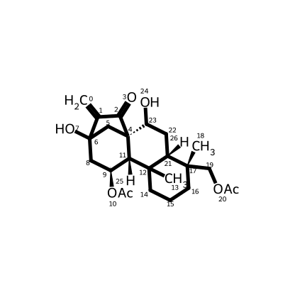 C=C1C(=O)[C@]23CC1(O)C[C@H](OC(C)=O)[C@H]2C1(C)CCC[C@@](C)(COC(C)=O)[C@H]1CC3O